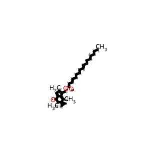 CCCCCCCC/C=C/CCCCCCCC(=O)OCC1=C(C)C=C2C(=O)[C@@H](C)C3(CC3)C(C)=C21